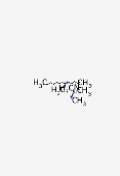 C=C/C(=C\CCC(=C)N(C)/C(C)=C/C=C\C)CCCCCCC